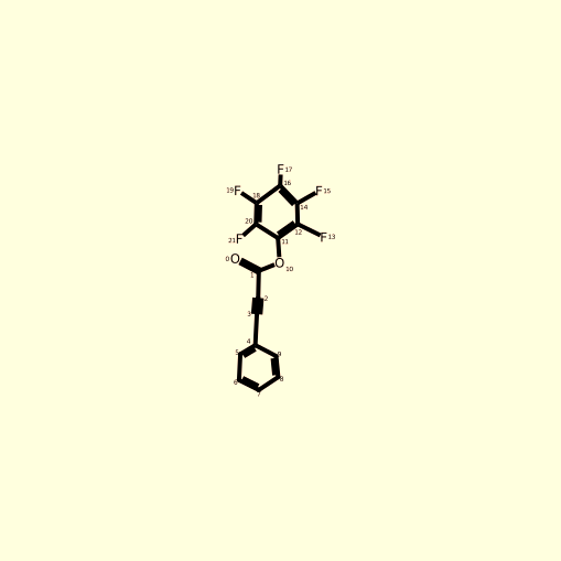 O=C(C#Cc1ccccc1)Oc1c(F)c(F)c(F)c(F)c1F